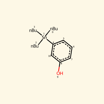 CCC[CH2][Sn]([CH2]CCC)([CH2]CCC)[c]1cccc(O)c1